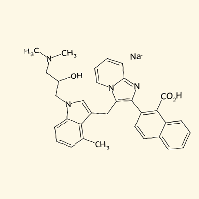 Cc1cccc2c1c(Cc1c(-c3ccc4ccccc4c3C(=O)O)nc3ccccn13)cn2CC(O)CN(C)C.[Na]